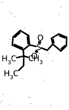 CCC(C)(C)c1ccccc1S(=O)(=O)Cc1ccccc1